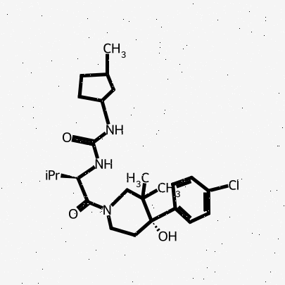 CC1CCC(NC(=O)N[C@@H](C(=O)N2CC[C@](O)(c3ccc(Cl)cc3)C(C)(C)C2)C(C)C)C1